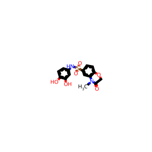 CN1C(=O)COc2ccc(S(=O)(=O)Nc3ccc(O)c(O)c3)cc21